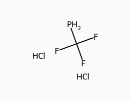 Cl.Cl.FC(F)(F)P